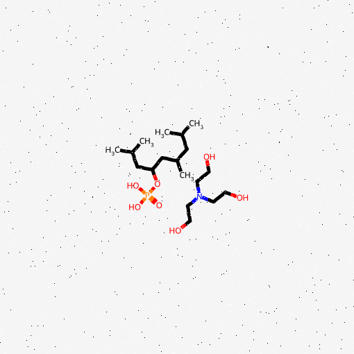 CC(C)CC(C)CC(CC(C)C)OP(=O)(O)O.OCCN(CCO)CCO